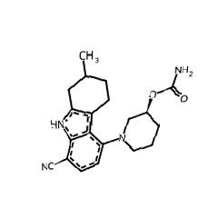 CC1CCc2c([nH]c3c(C#N)ccc(N4CCC[C@H](OC(N)=O)C4)c23)C1